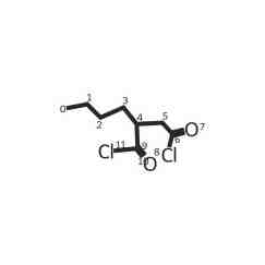 CCCCC(CC(=O)Cl)C(=O)Cl